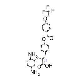 Nc1ccc(N)c(C/C(=C\c2ccc(OC(=O)c3ccc(OCC(F)(F)F)cc3)cc2)C(=O)O)c1